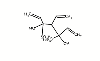 C=C[C](C(O)(C=C)S(=O)(=O)O)C(O)(C=C)S(=O)(=O)O